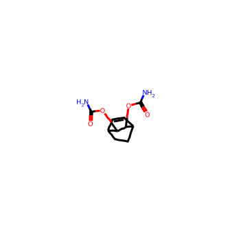 NC(=O)OC1C2C=CC(CC2)C1OC(N)=O